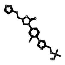 CC(C)(C)[Si](C)(C)OCc1cn(-c2ccc(N3C[C@@H](COc4ccon4)OC3=O)cc2F)cn1